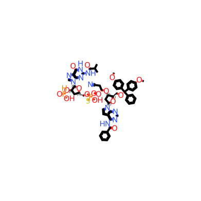 COc1ccc(C(OC[C@H]2O[C@@H](n3ccc4c(NC(=O)c5ccccc5)ncnc43)C[C@@H]2OC(CC#N)OOP(O)(=S)OC[C@@H]2C[C@@H](O[PH](=O)O)[C@H](n3cnc4c(=O)[nH]c(NC(=O)C(C)C)nc43)O2)(c2ccccc2)c2ccc(OC)cc2)cc1